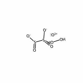 O=S([O-])S(=O)[O-].OO.[O+2]